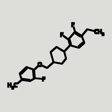 CCc1ccc(C2CCC(COc3ccc(C)cc3F)CC2)c(F)c1F